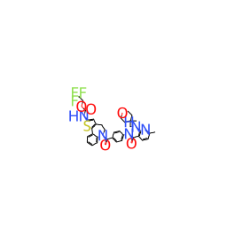 Cc1ccc(C(=O)Nc2ccc(C(=O)N3CCc4cc(NC(=O)OCC(F)(F)F)sc4-c4ccccc43)cc2)c(N2CC3(CCOCC3)C2)n1